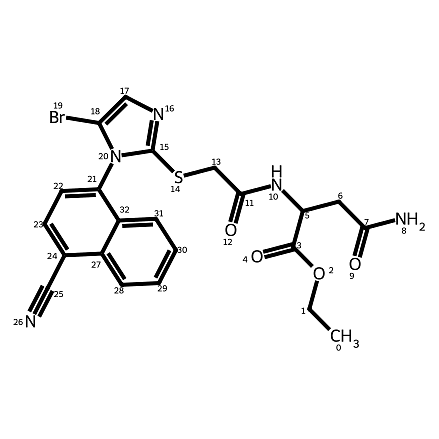 CCOC(=O)C(CC(N)=O)NC(=O)CSc1ncc(Br)n1-c1ccc(C#N)c2ccccc12